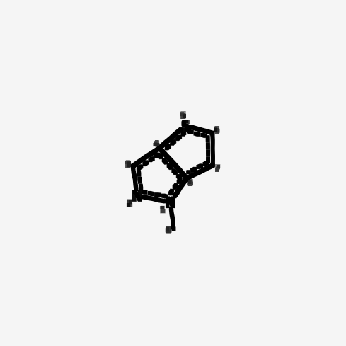 Cn1ncc2sccc21